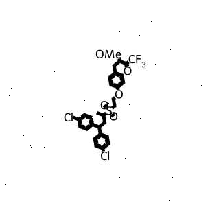 COC(Cc1ccc(OCCS(=O)(=O)C(C)CC(c2ccc(Cl)cc2)c2ccc(Cl)cc2)cc1)C(=O)C(F)(F)F